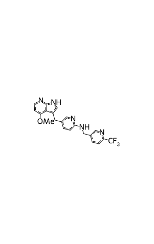 COc1ccnc2[nH]cc(Cc3ccc(NCc4ccc(C(F)(F)F)nc4)nc3)c12